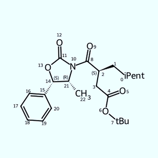 CCCC(C)C[C@@H](CC(=O)OC(C)(C)C)C(=O)N1C(=O)O[C@@H](c2ccccc2)[C@H]1C